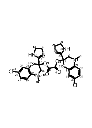 CN1CC(OC(=O)C(=O)OC2(C3=NCCN3)CN(C)c3ccc(Cl)cc3S2)(C2=NCCN2)Sc2cc(Cl)ccc21